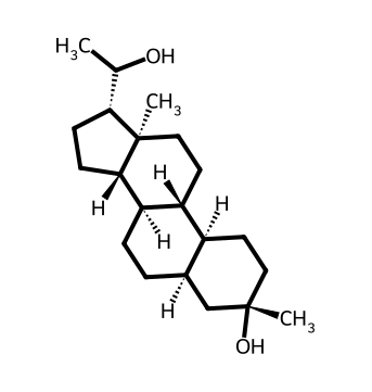 CC(O)[C@H]1CC[C@H]2[C@@H]3CC[C@@H]4C[C@@](C)(O)CC[C@@H]4[C@H]3CC[C@]12C